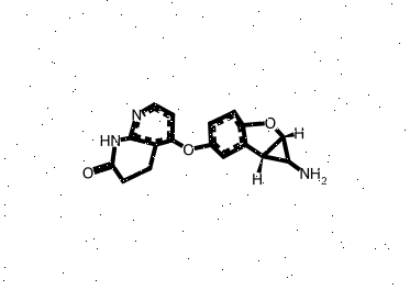 NC1[C@H]2Oc3ccc(Oc4ccnc5c4CCC(=O)N5)cc3[C@@H]12